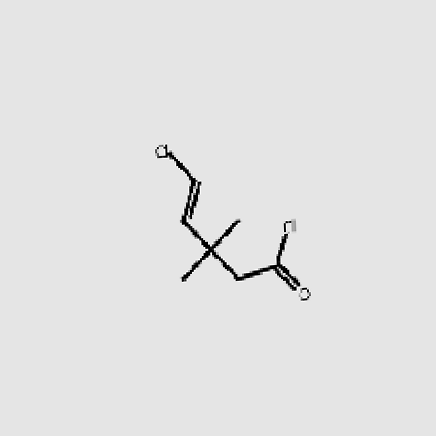 CC(C)(C=CCl)CC(=O)Cl